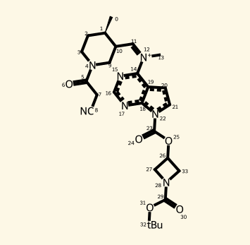 C[C@@H]1CCN(C(=O)CC#N)CC1/C=[N+](/C)c1ncnc2c1ccn2C(=O)OC1CN(C(=O)OC(C)(C)C)C1